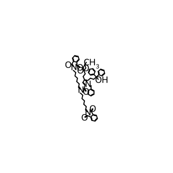 CCOC(=O)CCc1cc(C(=O)N(CCCCCCCN2C(=O)c3ccccc3C2=O)CCCCCCCN2C(=O)c3ccccc3C2=O)n(Cc2ccccc2)c1CCC(O)(c1ccccc1)c1ccccc1